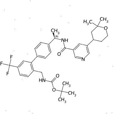 C[C@@H](NC(=O)c1cncc(C2CCOC(C)(C)C2)c1)c1ccc(-c2cc(C(F)(F)F)ccc2CNC(=O)OC(C)(C)C)cc1